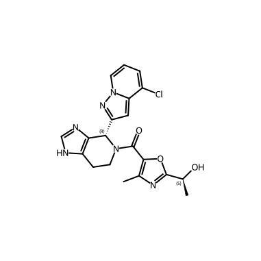 Cc1nc([C@H](C)O)oc1C(=O)N1CCc2[nH]cnc2[C@@H]1c1cc2c(Cl)cccn2n1